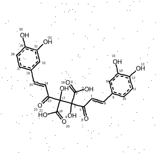 O=C(O)C(O)(C(=O)C=Cc1ccc(O)c(O)c1)C(O)(C(=O)O)C(=O)C=Cc1ccc(O)c(O)c1